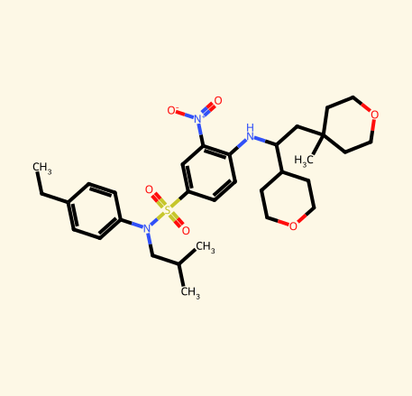 CCc1ccc(N(CC(C)C)S(=O)(=O)c2ccc(NC(CC3(C)CCOCC3)C3CCOCC3)c([N+](=O)[O-])c2)cc1